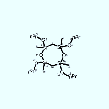 CCCO[Si]1(C)C[Si](C)(OCCC)O[Si](C)(OCCC)C[Si](C)(OCCC)O1